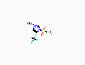 CCCC[n+]1ccn(S(C)(=O)=O)c1.F[B-](F)(F)F